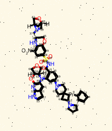 CC(C)c1ccccc1[C@@H]1CCCN1C1CC2(CCN(c3ccc(C(=O)NS(=O)(=O)c4cc5c(c([N+](=O)[O-])c4)N[C@H](CN4C[C@@H]6C[C@H]4CO6)CO5)c(N4c5cc6cc[nH]c6nc5O[C@H]5COC[C@@H]54)c3)CC2)C1